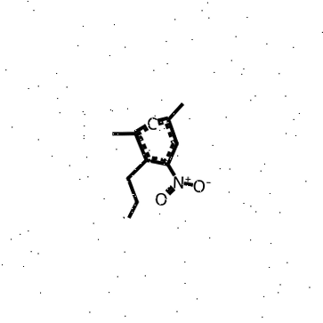 [CH2]CCc1c(C)cc(C)cc1[N+](=O)[O-]